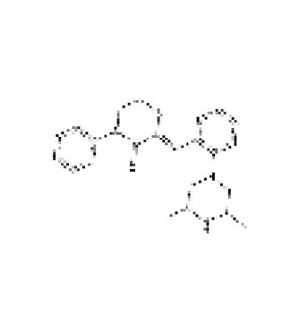 CC1CN(c2ccccc2C=C2SCCN(c3ccccc3)C2=O)CC(C)N1